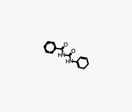 O=C(NC(=O)c1ccccc1)NC1=C[CH]CC=C1